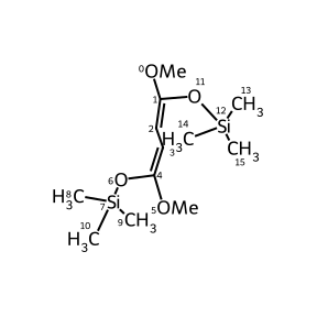 COC(=CC=C(OC)O[Si](C)(C)C)O[Si](C)(C)C